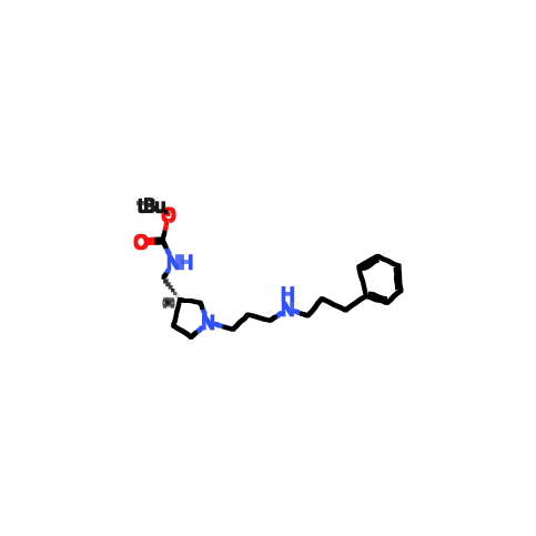 CC(C)(C)OC(=O)NC[C@H]1CCN(CCCNCCCc2ccccc2)C1